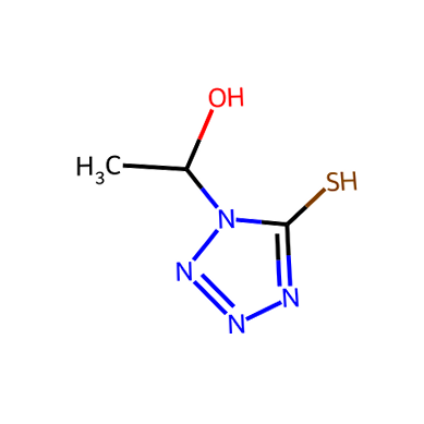 CC(O)n1nnnc1S